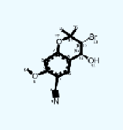 COc1cc2c(cc1C#N)[C@H](O)[C@@H](Br)C(C)(C)O2